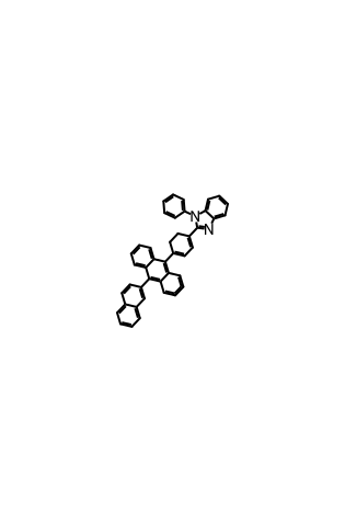 C1=C=Cc2c(c(C3=CC=C(c4nc5ccccc5n4-c4ccccc4)CC3)c3ccccc3c2-c2ccc3ccccc3c2)C=1